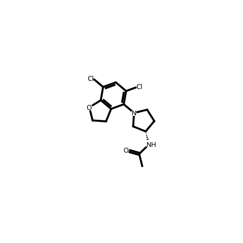 CC(=O)N[C@H]1CCN(c2c(Cl)cc(Cl)c3c2CCO3)C1